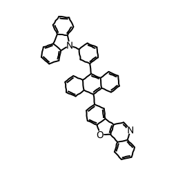 C1=CC2C(C3=CC=CC(n4c5ccccc5c5ccccc54)C3)=c3ccccc3=C(c3ccc4oc5c6ccccc6ncc5c4c3)C2C=C1